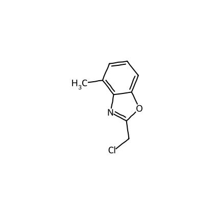 Cc1cccc2oc(CCl)nc12